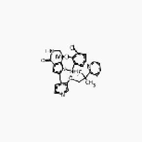 COc1c(Cl)cccc1Nn1c(-c2ccncc2OCC(C)(C)c2ccccn2)cc2c1CCNC2=O